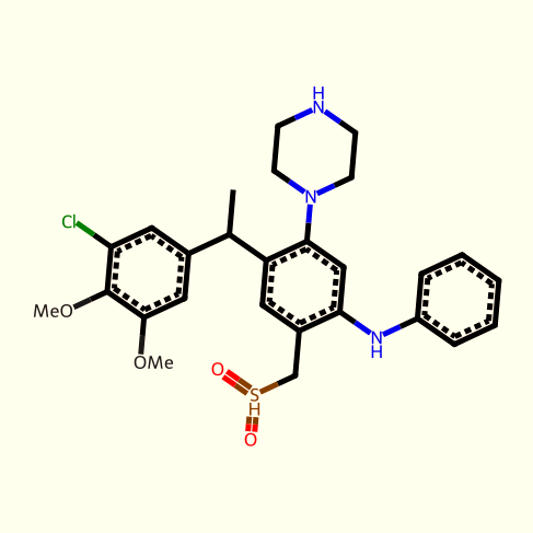 COc1cc(C(C)c2cc(C[SH](=O)=O)c(Nc3ccccc3)cc2N2CCNCC2)cc(Cl)c1OC